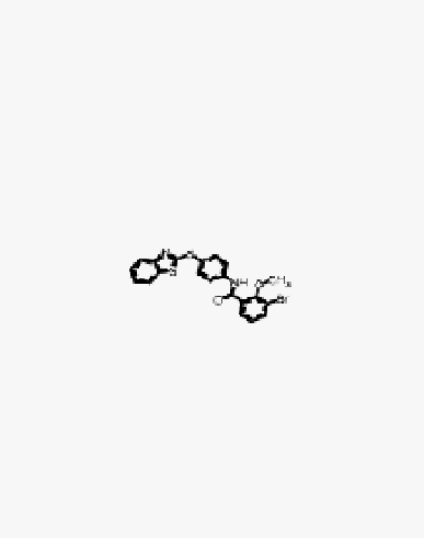 COc1c(Br)cccc1C(=O)Nc1ccc(Sc2nc3ccccc3s2)cc1